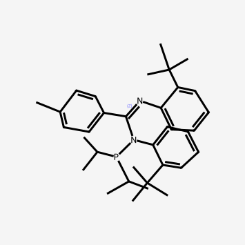 Cc1ccc(/C(=N/c2ccccc2C(C)(C)C)N(c2ccccc2C(C)(C)C)P(C(C)C)C(C)C)cc1